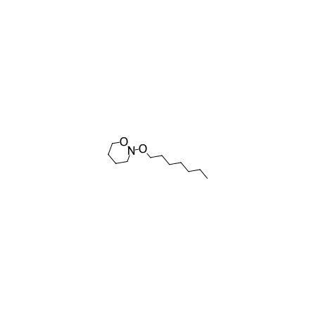 CCCCCCCON1CCCCO1